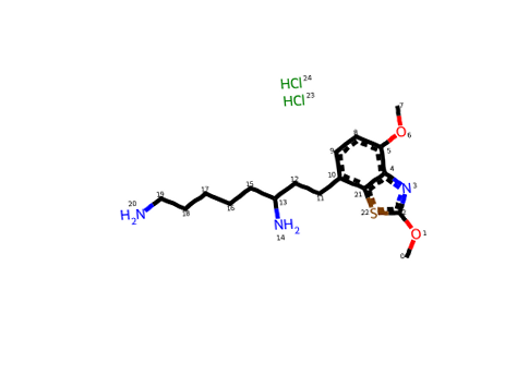 COc1nc2c(OC)ccc(CCC(N)CCCCCN)c2s1.Cl.Cl